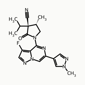 CC(C)[C@@]1(C#N)C(=O)N(c2nc(-c3cnn(C)c3)cn3ncc(F)c23)C[C@H]1C